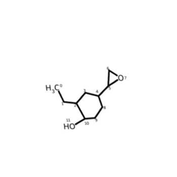 CCC1CC(C2CO2)CCC1O